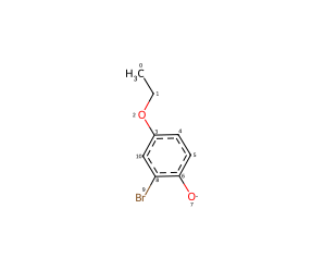 CCOc1ccc([O])c(Br)c1